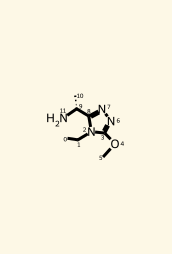 CCn1c(OC)nnc1[C@@H](C)N